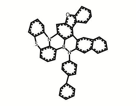 c1ccc(-c2ccc(N3B4c5cccc6c5N(c5ccccc5S6)c5cc6oc7ccccc7c6c(c54)-c4cc5ccccc5cc43)cc2)cc1